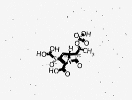 C[C@H](OS(=O)(=O)O)[C@@H]1C(=O)N2C(C(=O)O)=C([S+]([O-])C(O)O)C[C@H]12